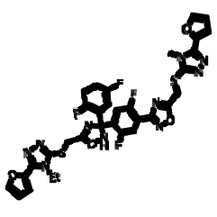 CCn1c(SCC2=NC(c3cc(F)ccc3F)(c3cc(F)c(-c4noc(CSc5nnc(-c6ccco6)n5C)n4)cc3F)NO2)nnc1-c1ccco1